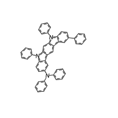 c1ccc(-c2ccc3c(c2)c2cc4c5cc(N(c6ccccc6)c6ccccc6)ccc5n(-c5ccccc5)c4cc2n3-c2ccccc2)cc1